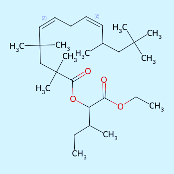 CCOC(=O)C(OC(=O)C(C)(C)CC(C)(C)/C=C\C/C=C\C(C)CC(C)(C)C)C(C)CC